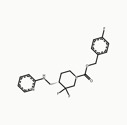 O=C(OCc1ccc(F)cc1)N1CC[C@@H](CNc2ccccn2)C(F)(F)C1